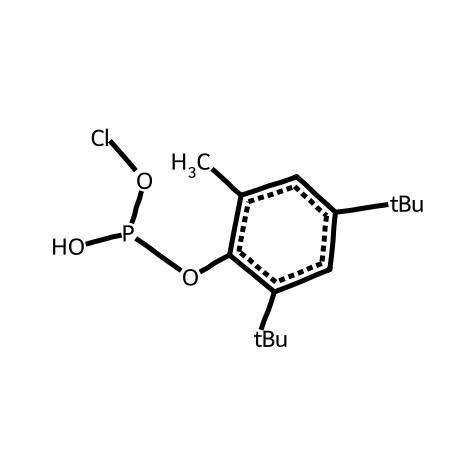 Cc1cc(C(C)(C)C)cc(C(C)(C)C)c1OP(O)OCl